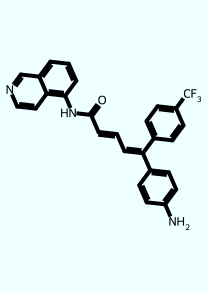 Nc1ccc(C(=CC=CC(=O)Nc2cccc3cnccc23)c2ccc(C(F)(F)F)cc2)cc1